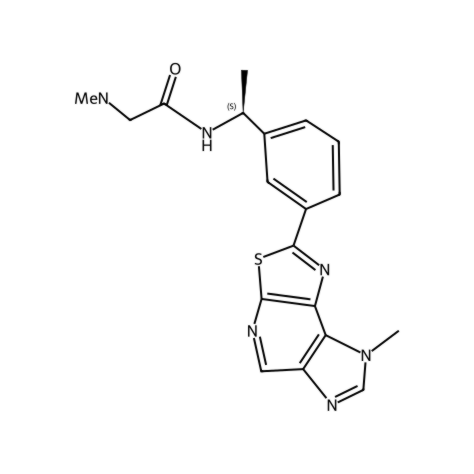 CNCC(=O)N[C@@H](C)c1cccc(-c2nc3c(ncc4ncn(C)c43)s2)c1